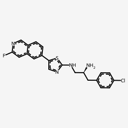 N[C@H](CNc1ncc(-c2ccc3cnc(F)cc3c2)s1)Cc1ccc(Cl)cc1